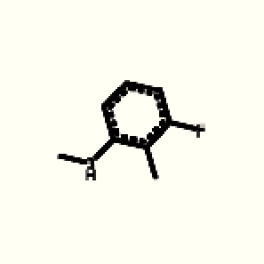 CBc1cccc(F)c1C